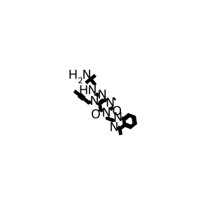 CC#CCn1c(NCC(C)(C)N)nc2c1c(=O)n(Cc1nc(C)c3ccccc3n1)c(=O)n2C